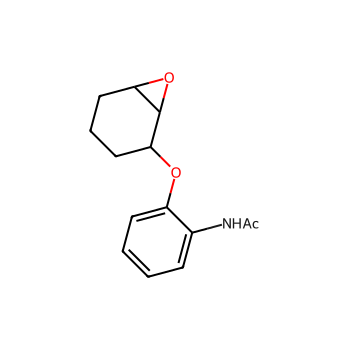 CC(=O)Nc1ccccc1OC1CCCC2OC12